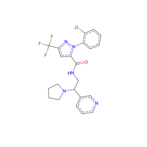 O=C(NCC(c1cccnc1)N1CCCC1)c1cc(C(F)(F)F)nn1-c1ccccc1Cl